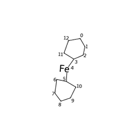 C1CC[CH]([Fe][CH]2CCCCC2)CC1